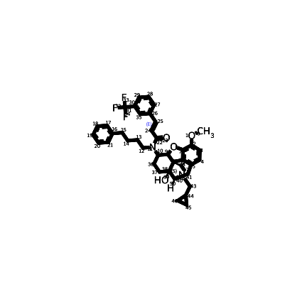 COc1ccc2c3c1OC1C(N(CCCCc4ccccc4)C(=O)/C=C/c4cccc(C(F)(F)F)c4)CC[C@@]4(O)[C@@H](C2)N(CC2CC2)CC[C@]314